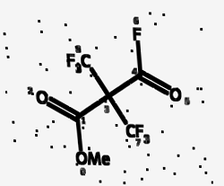 COC(=O)C(C(=O)F)(C(F)(F)F)C(F)(F)F